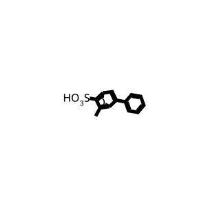 Cc1c(S(=O)(=O)O)c2cc(-c3ccccc3)c1o2